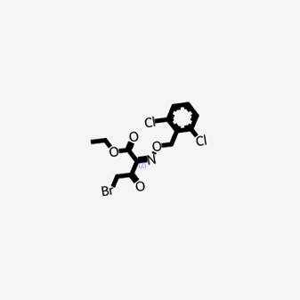 CCOC(=O)/C(=N\OCc1c(Cl)cccc1Cl)C(=O)CBr